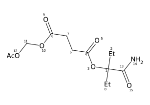 CCC(CC)(OC(=O)CCC(=O)OCOC(C)=O)C(N)=O